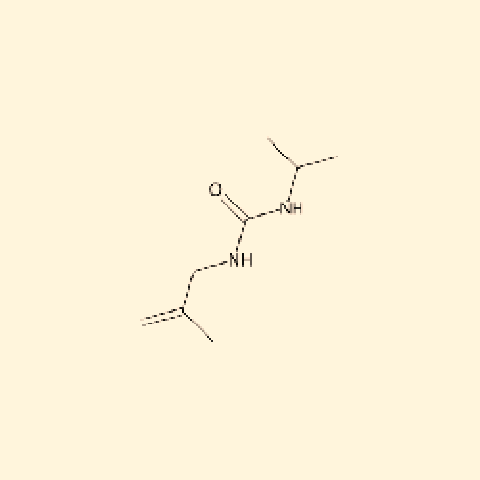 C=C(C)CNC(=O)NC(C)C